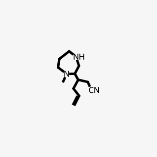 C=CCC(CC#N)C1CNCCCN1C